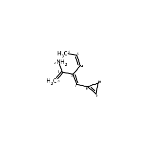 C=C(N)C(/C=C\C)=C/C1=CC1